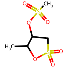 CC1OS(=O)(=O)CC1OS(C)(=O)=O